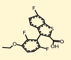 CCOc1ccc(F)c(-c2c(C(=O)O)sc3cc(F)ccc23)c1F